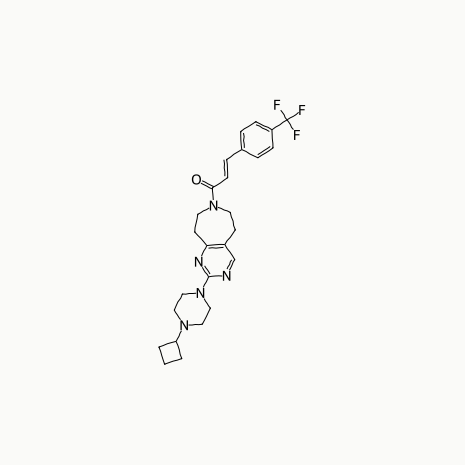 O=C(C=Cc1ccc(C(F)(F)F)cc1)N1CCc2cnc(N3CCN(C4CCC4)CC3)nc2CC1